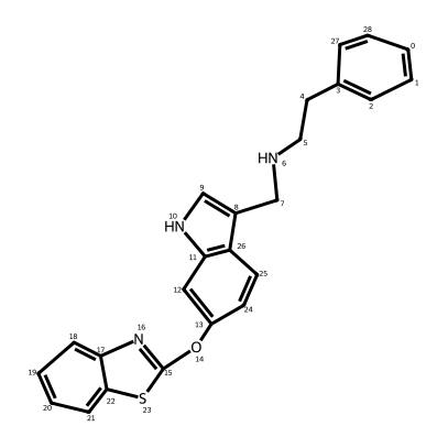 c1ccc(CCNCc2c[nH]c3cc(Oc4nc5ccccc5s4)ccc23)cc1